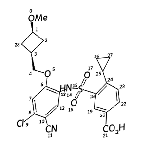 CO[C@H]1C[C@@H](COc2cc(Cl)c(C#N)cc2NS(=O)(=O)c2cc(C(=O)O)ccc2C2CC2)C1